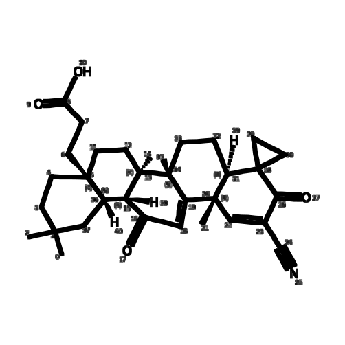 CC1(C)CC[C@]2(CCC(=O)O)CC[C@]3(C)[C@H](C(=O)C=C4[C@@]5(C)C=C(C#N)C(=O)C6(CC6)[C@@H]5CC[C@]43C)[C@@H]2C1